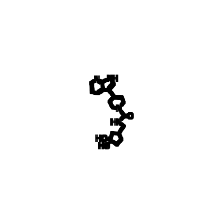 O=C(NCC1CCS(O)(O)C1)N1CC=C(c2c[nH]c3ncccc23)CC1